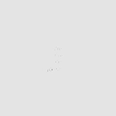 [Co+2].[Cu+2].[O-2].[O-2].[O-2].[Zn+2]